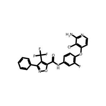 Nc1nccc(Oc2ccc(NC(=O)c3onc(-c4ccccc4)c3C(F)(F)F)cc2F)c1Cl